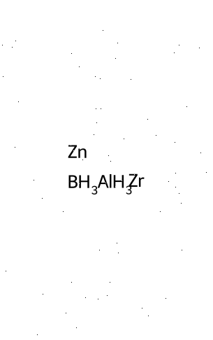 B.[AlH3].[Zn].[Zr]